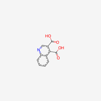 O=C(O)c1cnc2ccccc2c1C(=O)O